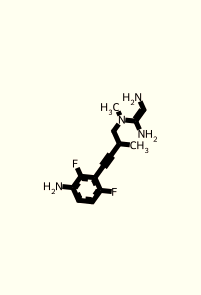 CC(C#Cc1c(F)ccc(N)c1F)CN(C)/C(N)=C\N